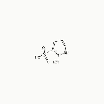 Cl.O=S(=O)(O)C1=CC=CNS1